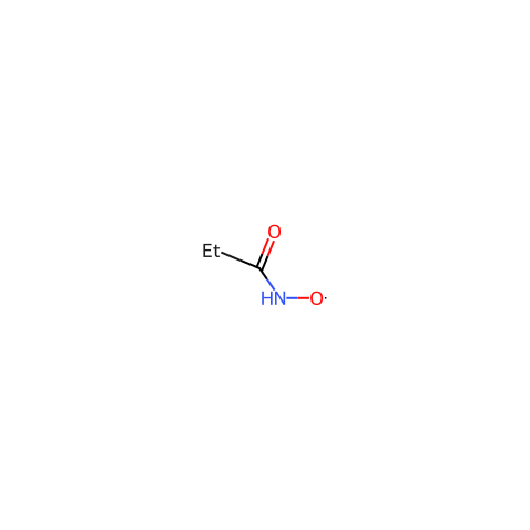 [CH2]CC(=O)N[O]